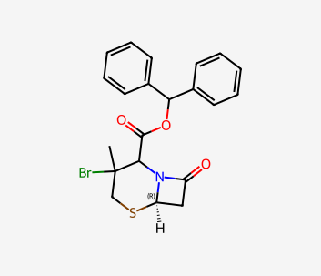 CC1(Br)CS[C@@H]2CC(=O)N2C1C(=O)OC(c1ccccc1)c1ccccc1